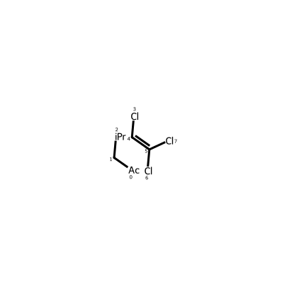 CC(=O)CC(C)C.ClC=C(Cl)Cl